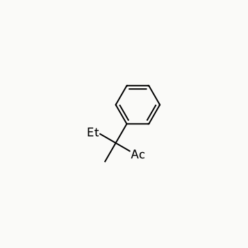 CCC(C)(C(C)=O)c1ccccc1